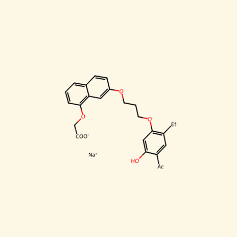 CCc1cc(C(C)=O)c(O)cc1OCCCOc1ccc2cccc(OCC(=O)[O-])c2c1.[Na+]